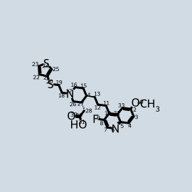 COc1ccc2ncc(F)c(CCC[C@@H]3CCN(CCSc4ccsc4)C[C@H]3CC(=O)O)c2c1